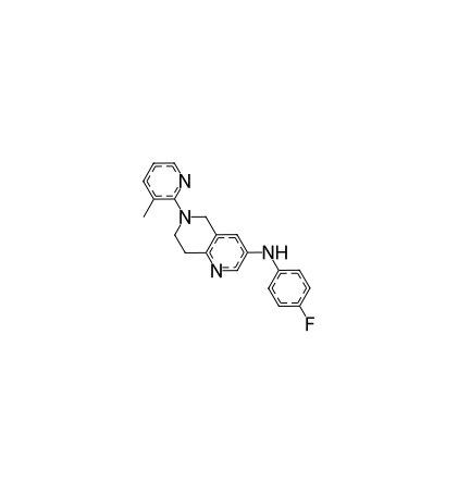 Cc1cccnc1N1CCc2ncc(Nc3ccc(F)cc3)cc2C1